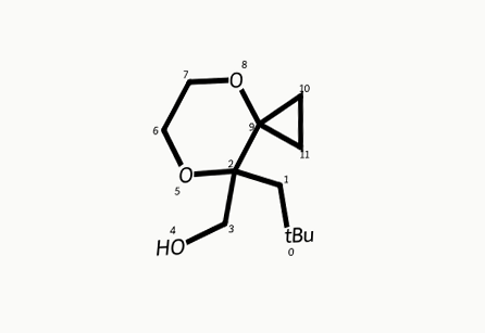 CC(C)(C)CC1(CO)OCCOC12CC2